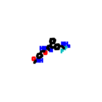 CC(=O)NC1CCC(CC(=O)Nc2cnc(-c3ccc([C@H](N)C(F)F)cc3)c(-c3ccccc3)c2)CC1